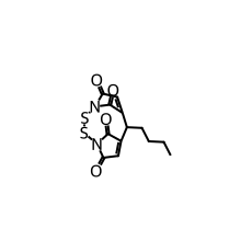 CCCCC1C2=CC(=O)N(SSN3C(=O)C=C1C3=O)C2=O